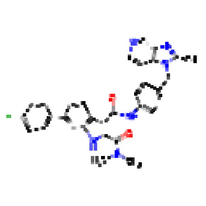 Cc1nc2cnccc2n1Cc1ccc(NC(=O)c2c(C(=O)N(C)C)[nH]c3cc(-c4ccc(F)cc4)ccc23)cc1